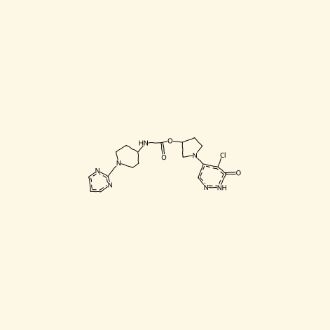 O=C(NC1CCN(c2ncccn2)CC1)OC1CCN(c2cn[nH]c(=O)c2Cl)C1